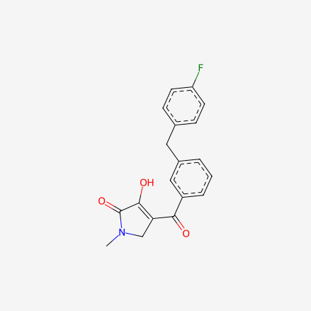 CN1CC(C(=O)c2cccc(Cc3ccc(F)cc3)c2)=C(O)C1=O